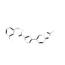 COc1cccc([C@H](C)NC(=O)c2cc(-c3ccc4nc(N)nn4c3)cs2)c1